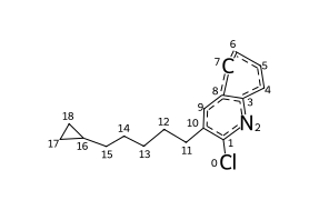 Clc1nc2ccccc2cc1CCCCCC1CC1